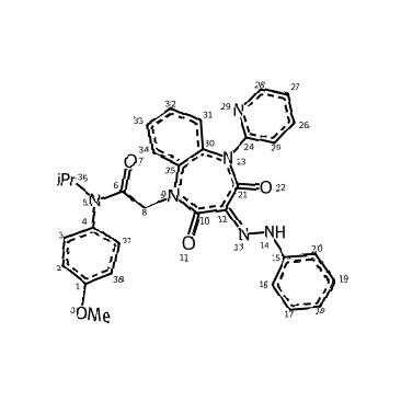 COc1ccc(N(C(=O)Cn2c(=O)/c(=N/Nc3ccccc3)c(=O)n(-c3ccccn3)c3ccccc32)C(C)C)cc1